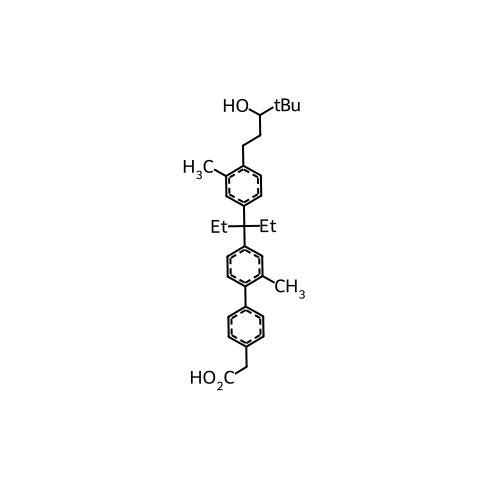 CCC(CC)(c1ccc(CCC(O)C(C)(C)C)c(C)c1)c1ccc(-c2ccc(CC(=O)O)cc2)c(C)c1